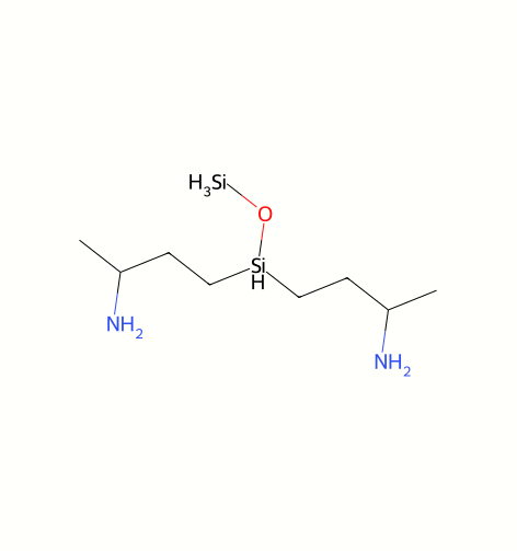 CC(N)CC[SiH](CCC(C)N)O[SiH3]